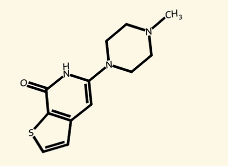 CN1CCN(c2cc3ccsc3c(=O)[nH]2)CC1